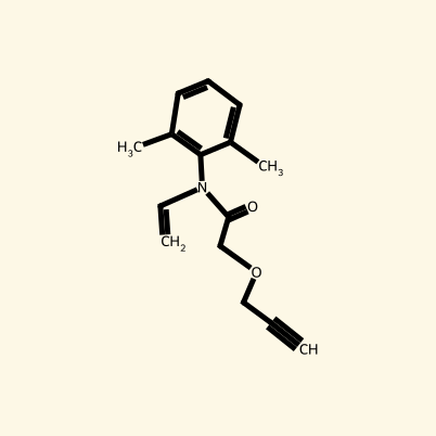 C#CCOCC(=O)N(C=C)c1c(C)cccc1C